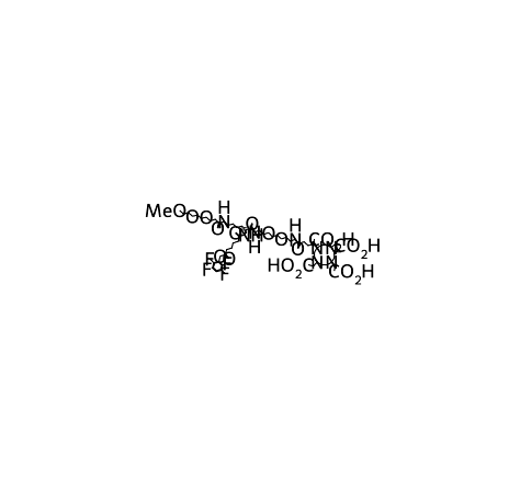 COCCOCCOCCC(=O)NCCCC[C@H](NC(=O)CCCCC(=O)Oc1c(F)c(F)cc(F)c1F)C(=O)NCCOCCOCCNC(=O)CCC(C(=O)O)N1CCN(CC(=O)O)CCN(CC(=O)O)CCN(CC(=O)O)CC1